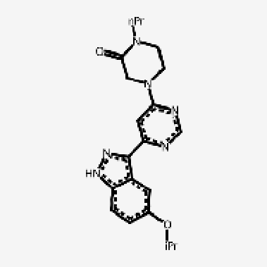 CCCN1CCN(c2cc(-c3n[nH]c4ccc(OC(C)C)cc34)ncn2)CC1=O